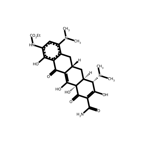 CCOC(=O)Nc1cc(N(C)C)c2c(c1O)C(=O)C1=C(O)[C@]3(O)C(=O)C(C(N)=O)=C(O)[C@@H](N(C)C)[C@@H]3C[C@H]1C2